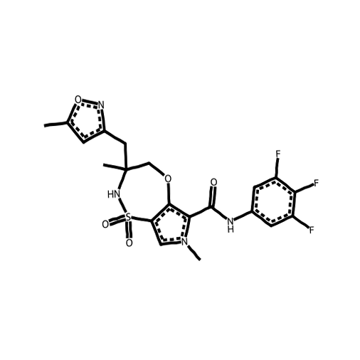 Cc1cc(CC2(C)COc3c(cn(C)c3C(=O)Nc3cc(F)c(F)c(F)c3)S(=O)(=O)N2)no1